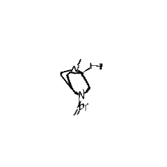 CC(C)N1C[C@@H]2CC1CN2C